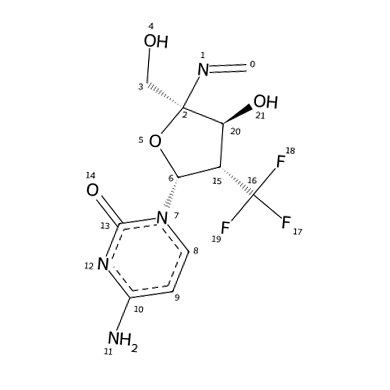 C=N[C@]1(CO)O[C@@H](n2ccc(N)nc2=O)[C@@H](C(F)(F)F)[C@@H]1O